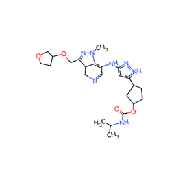 CC(C)NC(=O)OC1CCC(c2cc(NC3=C4C(CN=C3)C(COC3CCOC3)=NN4C)n[nH]2)C1